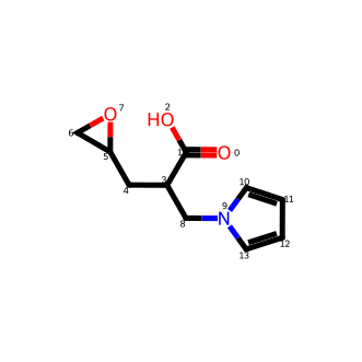 O=C(O)C(CC1CO1)Cn1cccc1